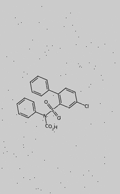 O=C(O)N(c1ccccc1)S(=O)(=O)c1cc(Cl)ccc1-c1ccccc1